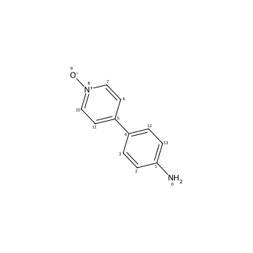 Nc1ccc(-c2cc[n+]([O-])cc2)cc1